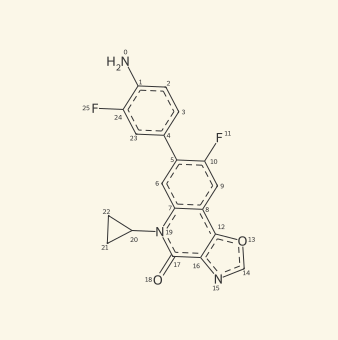 Nc1ccc(-c2cc3c(cc2F)c2ocnc2c(=O)n3C2CC2)cc1F